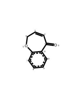 O=C1C=CCOc2ccccc21